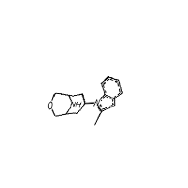 Cc1cc2ccccc2n1C1CC2COCC(C1)N2